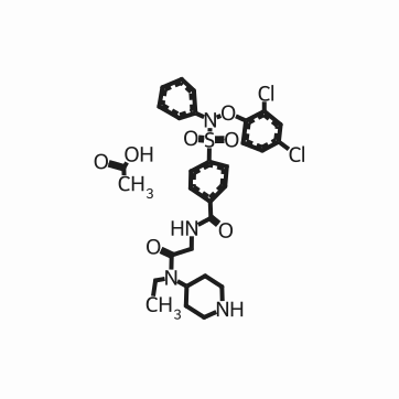 CC(=O)O.CCN(C(=O)CNC(=O)c1ccc(S(=O)(=O)N(Oc2ccc(Cl)cc2Cl)c2ccccc2)cc1)C1CCNCC1